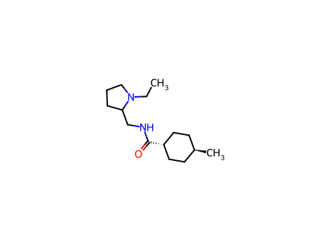 CCN1CCCC1CNC(=O)[C@H]1CC[C@H](C)CC1